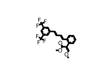 COC=C(C(=O)OC)c1ccccc1C=CC=Cc1cc(C(F)(F)F)cc(C(F)(F)F)c1